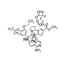 CCOc1cc(C(Nc2ccc3c(N)nccc3c2)C(=O)N2CC[C@H](C(=O)OC)[C@H]2c2cc(C(=O)OC)ccc2S(=O)(=O)C(C)C)ccc1OC(C)C.O=C(O)C(F)(F)F